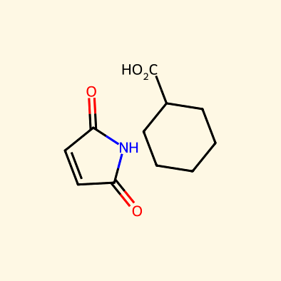 O=C(O)C1CCCCC1.O=C1C=CC(=O)N1